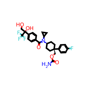 NC(=O)OC[C@]1(c2ccc(F)cc2)CC[C@H](N(C(=O)c2ccc([C@@](O)(CO)C(F)(F)F)cc2)C2CC2)CC1